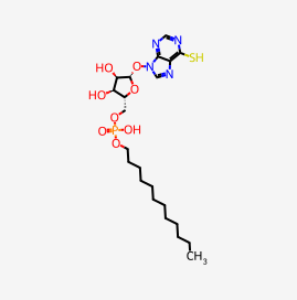 CCCCCCCCCCCCOP(=O)(O)OC[C@H]1O[C@@H](On2cnc3c(S)ncnc32)[C@H](O)[C@@H]1O